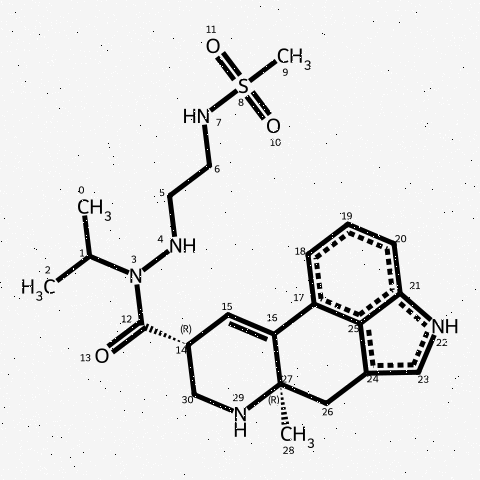 CC(C)N(NCCNS(C)(=O)=O)C(=O)[C@@H]1C=C2c3cccc4[nH]cc(c34)C[C@@]2(C)NC1